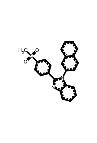 CS(=O)(=O)c1ccc(-c2nc3ccccc3n2-c2ccc3ccccc3c2)cc1